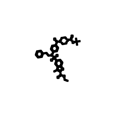 CCOC(=O)c1oc2ccc(S(=O)(=O)N(CCc3ccccc3)c3ccc(C(=O)N4CCN(C(=O)OC(C)(C)C)CC4)cc3)cc2c1C